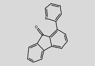 O=C1c2ccccc2-c2cccc(-c3ccccn3)c21